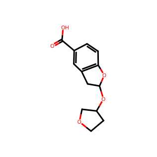 O=C(O)c1ccc2c(c1)CC(OC1CCOC1)O2